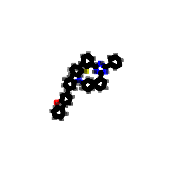 c1ccc(-c2nc(-c3ccccc3)nc(-c3cccc4c3sc3c4ccc4c5ccc(-c6ccc7c(c6)oc6ccccc67)cc5n(-c5ccccc5)c43)n2)cc1